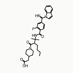 CCCCC(C(=O)N1CCC(CC(=O)O)CC1)C(C)(C)NC(=O)c1ccc(C(=N)n2ccc3ccccc32)cc1F